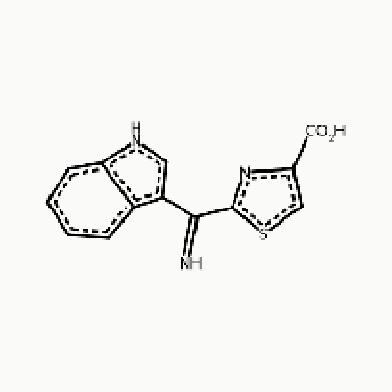 N=C(c1nc(C(=O)O)cs1)c1c[nH]c2ccccc12